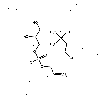 C=CCOP(=O)([O-])OCC(O)CO.C[N+](C)(C)CCO